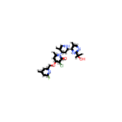 CC1=CN[C@@H](c2nc(C(C)(C)O)ncc2C)C[C@H]1n1c(C)cc(OCc2cc(C)cc(F)n2)c(Cl)c1=O